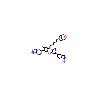 Cc1cc2c(cc1-c1ccc3[nH]ncc3c1)Oc1cc(-c3ccc4[nH]ncc4c3)cnc1N2CCCCCN1CC2COCC(C2)C1